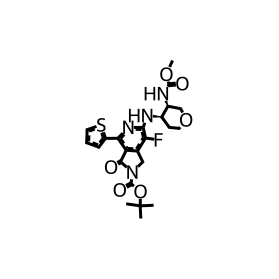 COC(=O)N[C@H]1COCC[C@H]1Nc1nc(-c2cccs2)c2c(c1F)CN(C(=O)OC(C)(C)C)C2=O